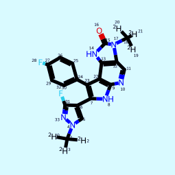 [2H]C([2H])([2H])n1cc(-c2[nH]c3ncc4c([nH]c(=O)n4C([2H])([2H])[2H])c3c2-c2ccc(F)cc2)c(F)n1